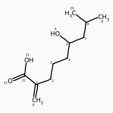 C=C(CCCC(O)CC(C)C)C(=O)O